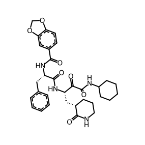 O=C(NC1CCCCC1)C(=O)[C@H](C[C@@H]1CCCNC1=O)NC(=O)[C@H](Cc1ccccc1)NC(=O)c1ccc2c(c1)OCO2